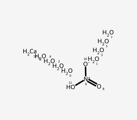 O.O.O.O.O.O.O.O.O=[N+]([O-])O.[CaH2]